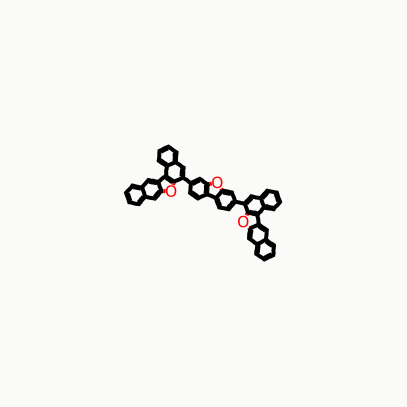 c1ccc2cc3c(cc2c1)oc1c(-c2ccc4c(c2)oc2cc(-c5cc6ccccc6c6c5oc5cc7ccccc7cc56)ccc24)cc2ccccc2c13